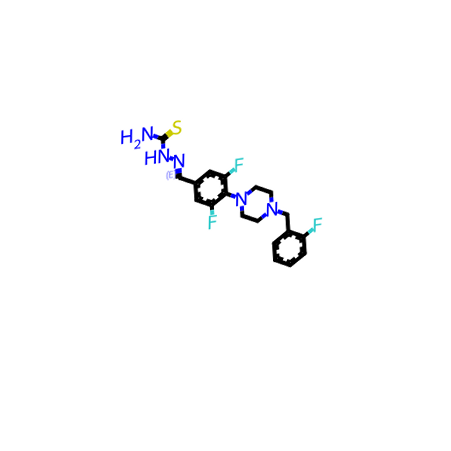 NC(=S)N/N=C/c1cc(F)c(N2CCN(Cc3ccccc3F)CC2)c(F)c1